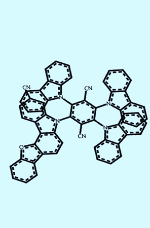 N#Cc1ccc2c3c4oc5ccccc5c4ccc3n(-c3c(C#N)c(-n4c5ccccc5c5ccccc54)c(-n4c5ccccc5c5ccccc54)c(C#N)c3-n3c4ccccc4c4ccccc43)c2c1